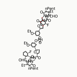 CCCCC[C@@H](C(=O)NCNC(=O)c1ccc(-c2cc(OCC)cc(O[PH](=O)Oc3cc(OCC)cc(-c4ccc(C(=O)NCNC(=O)[C@H](CCCCC)[C@@H](CC)N(C=O)OC(=O)c5c(C)cccc5F)o4)c3)c2)o1)[C@@H](CC)N(C=O)OC(=O)c1c(C)cccc1F